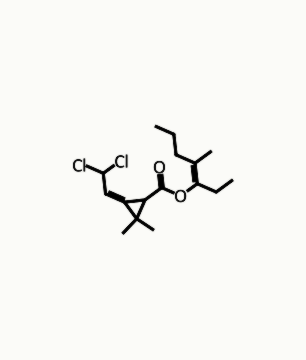 CCCC(C)=C(CC)OC(=O)C1C(=CC(Cl)Cl)C1(C)C